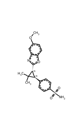 COc1ccc2oc([C@@H]3[C@@H](c4ccc(S(N)(=O)=O)cc4)C3(C)C)nc2c1